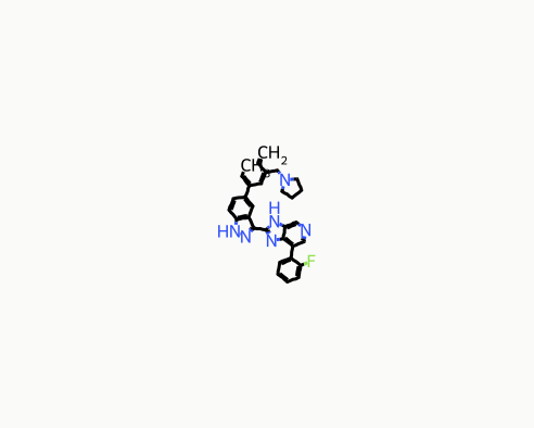 C=C/C(=C\C(=C/C)c1ccc2[nH]nc(-c3nc4c(-c5ccccc5F)cncc4[nH]3)c2c1)CN1CCCC1